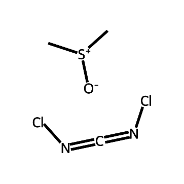 C[S+](C)[O-].ClN=C=NCl